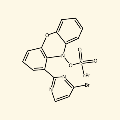 CCCS(=O)(=O)ON1c2ccccc2Oc2cccc(-c3nccc(Br)n3)c21